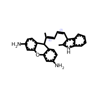 C/C(=C\C=C/c1c(C)[nH]c2ccccc12)C1c2ccc(N)cc2Oc2cc(N)ccc21